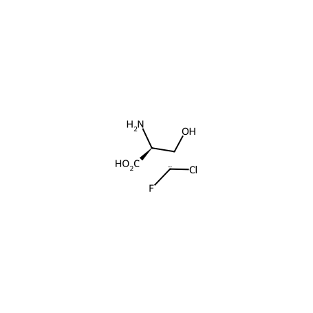 F[C]Cl.N[C@@H](CO)C(=O)O